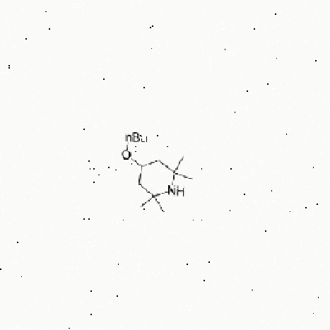 CCCCOC1CC(C)(C)NC(C)(C)C1